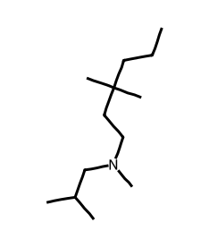 CCCC(C)(C)CCN(C)CC(C)C